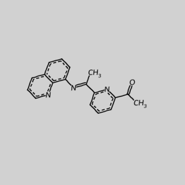 CC(=O)c1cccc(/C(C)=N/c2cccc3cccnc23)n1